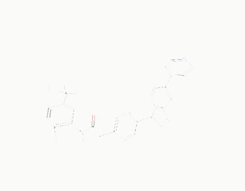 O=C(Cc1ccc(-c2cnc3cc(-c4ccncc4)ccn23)cc1)Nc1cc(C(F)(F)F)ccc1F